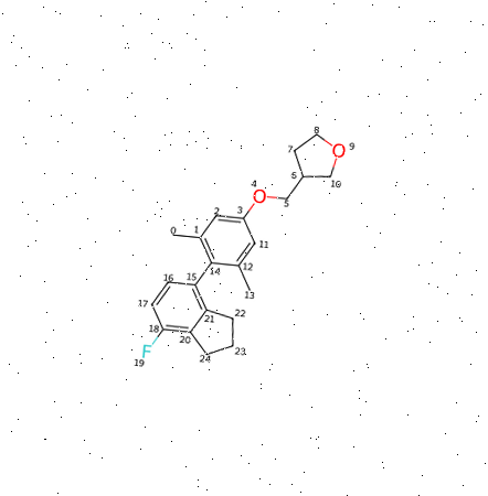 Cc1cc(OCC2CCOC2)cc(C)c1-c1ccc(F)c2c1CCC2